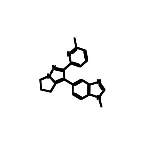 Cc1cccc(-c2nn3c(c2-c2ccc4c(c2)ncn4C)CCC3)n1